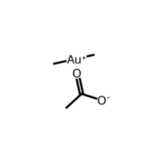 CC(=O)[O-].[CH3][Au+][CH3]